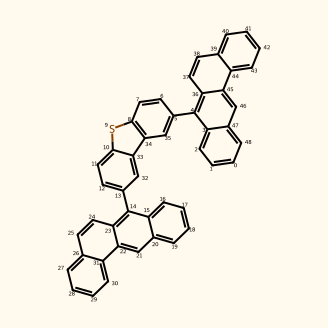 c1ccc2c(-c3ccc4sc5ccc(-c6c7ccccc7cc7c6ccc6ccccc67)cc5c4c3)c3ccc4ccccc4c3cc2c1